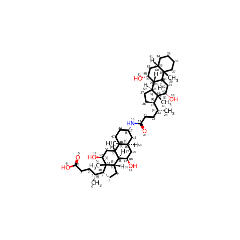 C[C@H](CCC(=O)O)[C@H]1CC[C@H]2[C@@H]3[C@H](O)C[C@@H]4C[C@@H](NC(=O)CC[C@@H](C)[C@H]5CC[C@H]6[C@@H]7[C@H](O)C[C@@H]8CCCCC8(C)[C@H]7C[C@H](O)[C@]56C)CC[C@]4(C)[C@H]3C[C@H](O)C12C